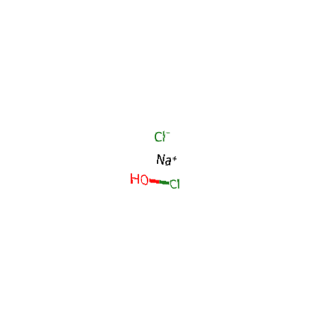 OCl.[Cl-].[Na+]